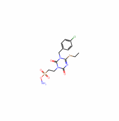 CCSc1nc(=O)n(CCS(=O)(=O)ON)c(=O)n1Cc1ccc(Cl)cc1